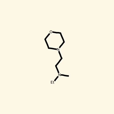 CCN(C)CCN1CCOCC1